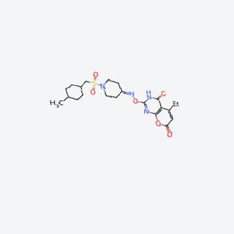 CCc1cc(=O)oc2nc(ON=C3CCN(S(=O)(=O)CC4CCC(C)CC4)CC3)[nH]c(=O)c12